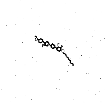 CCCCCCCCCOc1ccc(-c2ccc(-c3ccc(C4=CCC(OCC)CC4)c(F)c3)cc2)c(F)c1F